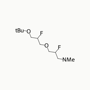 CNCC(F)COCC(F)COC(C)(C)C